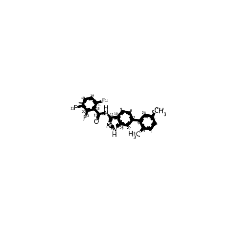 Cc1ccc(C)c(-c2ccc3c(NC(=O)c4c(F)ccc(F)c4F)n[nH]c3c2)c1